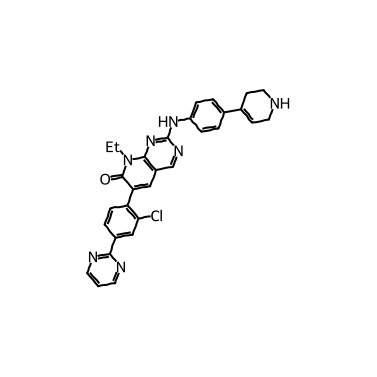 CCn1c(=O)c(-c2ccc(-c3ncccn3)cc2Cl)cc2cnc(Nc3ccc(C4=CCNCC4)cc3)nc21